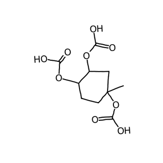 CC1(OC(=O)O)CCC(OC(=O)O)C(OC(=O)O)C1